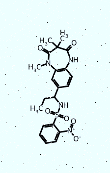 CCC(NS(=O)(=O)c1ccccc1[N+](=O)[O-])c1ccc2c(c1)N(C)C(=O)C(C)(C)C(=O)N2